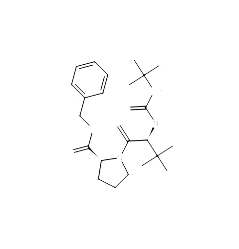 C=C([C@@H](NC(=O)OC(C)(C)C)C(C)(C)C)N1CCC[C@H]1C(=O)OCc1ccccc1